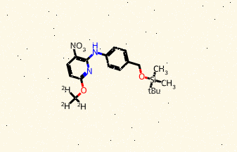 [2H]C([2H])([2H])Oc1ccc([N+](=O)[O-])c(Nc2ccc(CO[Si](C)(C)C(C)(C)C)cc2)n1